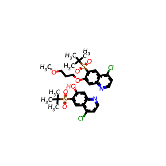 CC(C)(C)S(=O)(=O)c1cc2c(Cl)ccnc2cc1O.COCCCOc1cc2nccc(Cl)c2cc1S(=O)(=O)C(C)(C)C